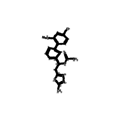 COc1cc(Cl)ccc1-c1cccc(C(Cc2nnc(C)o2)OC(N)=O)c1